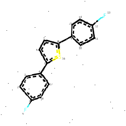 Fc1ccc(-c2ccc(-c3ccc(F)cc3)s2)cc1